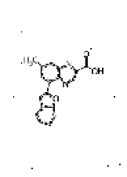 Cc1cc(-c2cc3ccccc3o2)c2ncc(C(=O)O)nc2c1